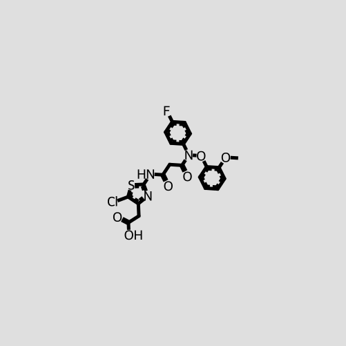 COc1ccccc1ON(C(=O)CC(=O)Nc1nc(CC(=O)O)c(Cl)s1)c1ccc(F)cc1